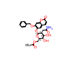 CC(C)(C)C(=O)OC[C@H]1O[C@@H](Oc2cc3ccc(=O)oc3cc2OCc2ccccc2)[C@@H](CC(N)=O)[C@@H](O)[C@@H]1O